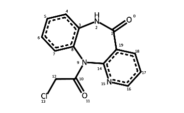 O=C1Nc2ccccc2N(C(=O)CCl)c2ncccc21